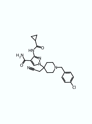 N#CCC1(n2cc(C(N)=O)c(NC(=O)C3CC3)n2)CCN(Cc2ccc(Cl)cc2)CC1